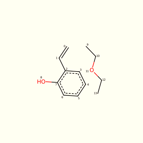 C=Cc1ccccc1O.CCOCC